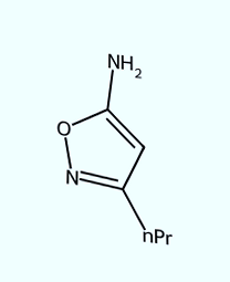 CCCc1cc(N)on1